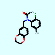 CCCC(=O)N(Cc1ccc2c(c1)OCCO2)c1cc(C#N)ccc1F